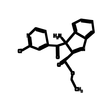 CCOC(=O)C1=Nc2ccccc2C1(N)C(=O)c1ccnc(Cl)c1